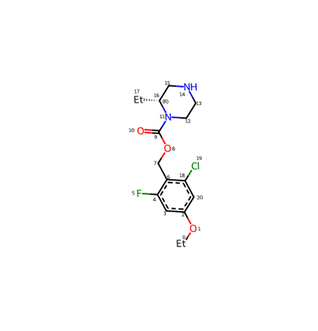 CCOc1cc(F)c(COC(=O)N2CCNC[C@H]2CC)c(Cl)c1